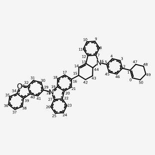 C1=C(c2ccc(N3c4ccccc4C4=CC(c5ccc6c(c5)c5ccccc5n6-c5ccc6oc7ccccc7c6c5)CCC43)cc2)CCCC1